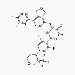 Cc1cnc(-c2ccc(C[C@H](NC(=O)c3c(F)cc(N4CCOC[C@@H]4C(F)(F)F)cc3F)C(=O)O)c3c2COC3)nc1C